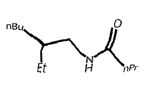 CCCCC(CC)CNC(=O)CCC